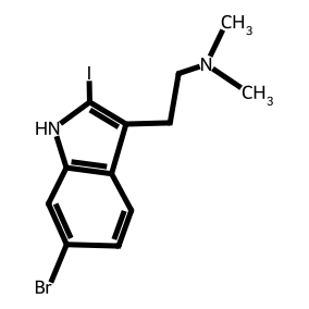 CN(C)CCc1c(I)[nH]c2cc(Br)ccc12